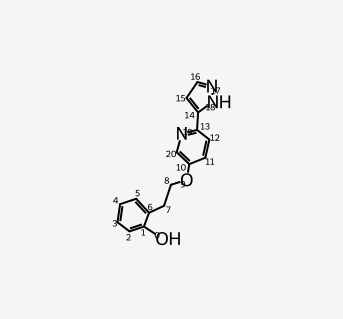 Oc1ccccc1CCOc1ccc(-c2ccn[nH]2)nc1